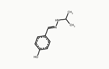 CC(C)N/N=C/c1ccc(O)cc1